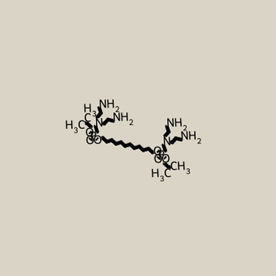 CC(C)COP(=O)(CCN(CCCN)CCCN)OCCCCCCCCCCCCOP(=O)(CCN(CCCN)CCCN)OCC(C)C